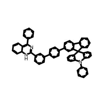 C1=CC2=C(c3ccccc3)N=C(c3cccc(-c4ccc(-c5ccc6c(c5)C5(c7ccccc7-6)c6ccccc6N(c6ccccc6)c6ccccc65)cc4)c3)NC2C=C1